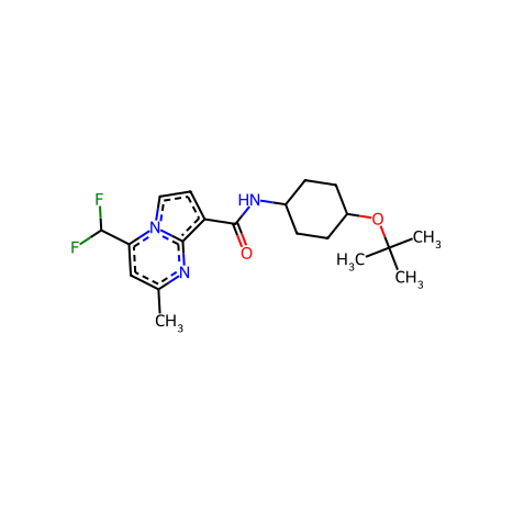 Cc1cc(C(F)F)n2ccc(C(=O)NC3CCC(OC(C)(C)C)CC3)c2n1